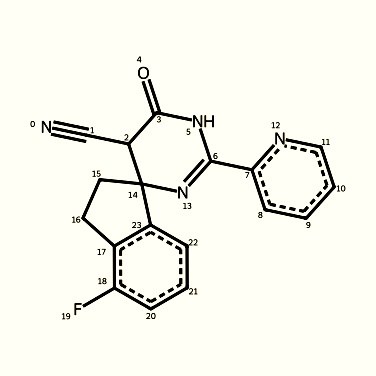 N#CC1C(=O)NC(c2ccccn2)=NC12CCc1c(F)cccc12